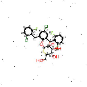 OC[C@H]1S[C@@H](Oc2c(Cc3c(F)cccc3Cl)cc(Cl)cc2Cc2c(F)cccc2Cl)[C@H](O)[C@@H](O)[C@@H]1O